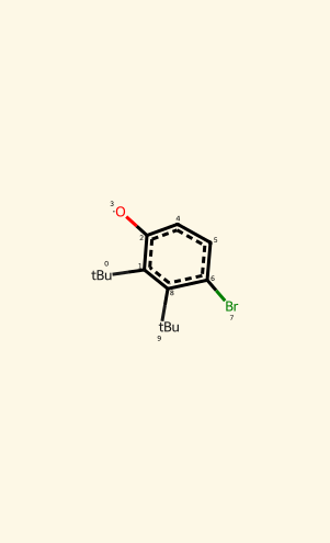 CC(C)(C)c1c([O])ccc(Br)c1C(C)(C)C